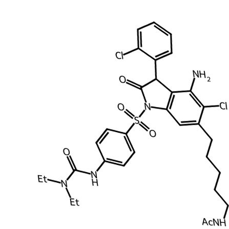 CCN(CC)C(=O)Nc1ccc(S(=O)(=O)N2C(=O)C(c3ccccc3Cl)c3c2cc(CCCCCNC(C)=O)c(Cl)c3N)cc1